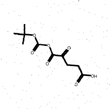 CC(C)(C)OC(=O)OC(=O)C(=O)CCC(=O)O